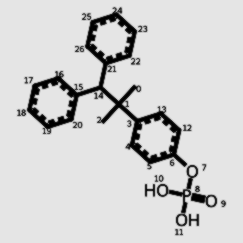 CC(C)(c1ccc(OP(=O)(O)O)cc1)C(c1ccccc1)c1ccccc1